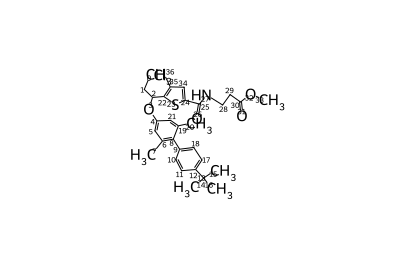 CCC(Oc1cc(C)c(-c2ccc(C(C)(C)C)cc2)c(C)c1)c1sc(C(=O)NCCC(=O)OC)cc1Cl